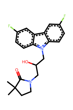 CC1(C)CCN(CC(O)Cn2c3ccc(F)cc3c3cc(F)ccc32)C1=O